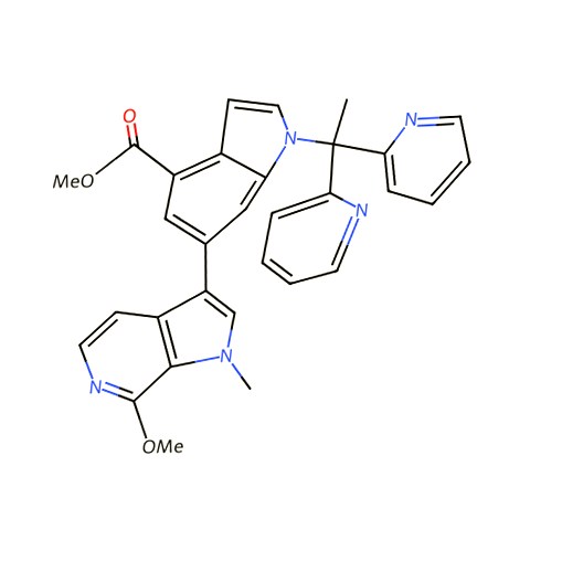 COC(=O)c1cc(-c2cn(C)c3c(OC)nccc23)cc2c1ccn2C(C)(c1ccccn1)c1ccccn1